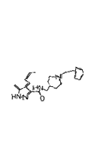 C=c1[nH]nc(C(=O)NCC2CCN(Cc3ccccc3)CC2)/c1=C/C=C\C